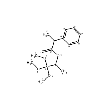 CO[Si](OC)(OC)C(C)OC(=O)C(C)c1ccccc1